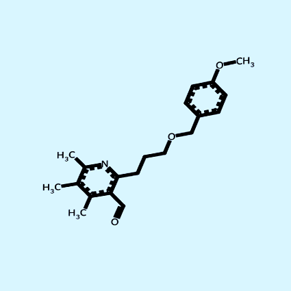 COc1ccc(COCCCc2nc(C)c(C)c(C)c2C=O)cc1